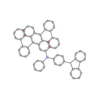 c1ccc(-c2ccccc2-c2c3ccccc3c(-c3ccccc3-c3ccccc3)c3cc(N(c4ccccc4)c4ccc(C5c6ccccc6-c6ccccc65)cc4)ccc23)cc1